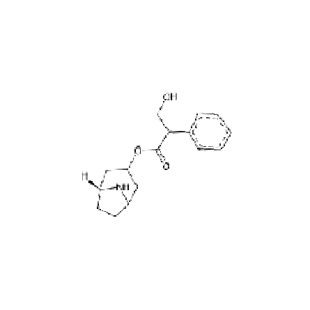 O=C(OC1CC2CC[C@H](C1)N2)C(CO)c1ccccc1